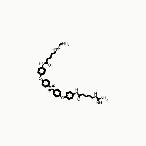 N=C(N)NCCCCC(=O)Nc1ccc(Oc2ccc(S(=O)(=O)c3ccc(Oc4ccc(NC(=O)CCCCNNCN)cc4)cc3)cc2)cc1